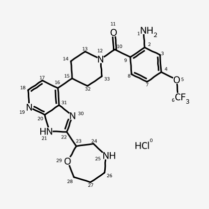 Cl.Nc1cc(OC(F)(F)F)ccc1C(=O)N1CCC(c2ccnc3[nH]c(C4CNCCCO4)nc23)CC1